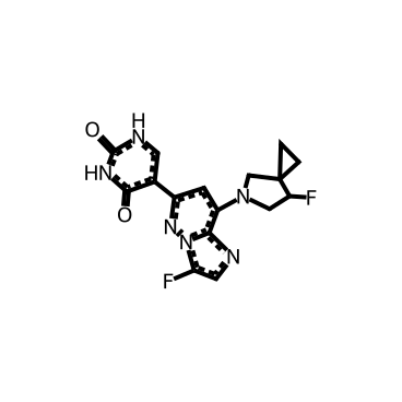 O=c1[nH]cc(-c2cc(N3CC(F)C4(CC4)C3)c3ncc(F)n3n2)c(=O)[nH]1